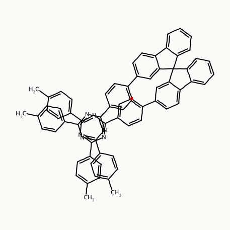 Cc1ccc(-c2nc(-c3ccc(C)cc3)nc(-c3ccc(-c4ccc5c(c4)C4(c6ccccc6-5)c5ccccc5-c5ccc(-c6ccc(-c7nc(-c8ccc(C)cc8)nc(-c8ccc(C)cc8)n7)cc6)cc54)cc3)n2)cc1